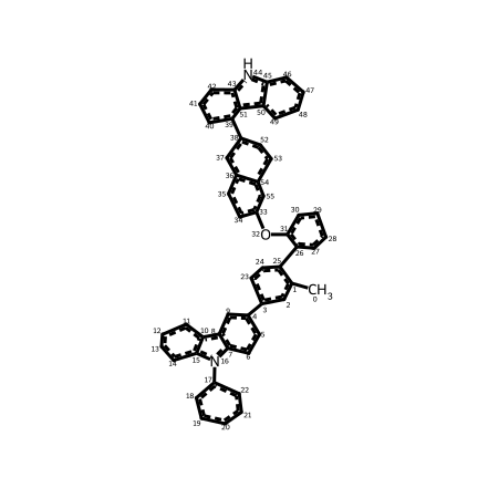 Cc1cc(-c2ccc3c(c2)c2ccccc2n3-c2ccccc2)ccc1-c1ccccc1Oc1ccc2cc(-c3cccc4[nH]c5ccccc5c34)ccc2c1